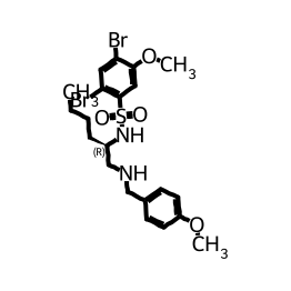 CCCC[C@H](CNCc1ccc(OC)cc1)NS(=O)(=O)c1cc(OC)c(Br)cc1Br